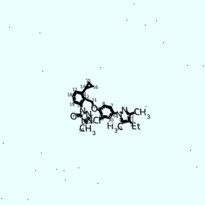 CCc1c(C)nn(-c2ccc(OCc3c(C4CC4)cccc3-n3nnn(C)c3=O)c(Cl)c2)c1C